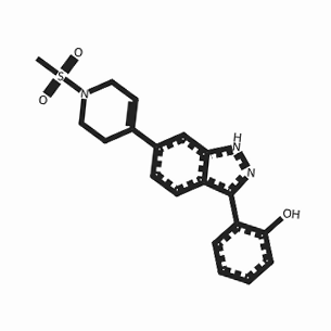 CS(=O)(=O)N1CC=C(c2ccc3c(-c4ccccc4O)n[nH]c3c2)CC1